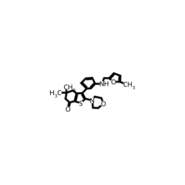 Cc1ccc(CNc2cccc(-c3c(N4CCOCC4)sc4c3CC(C)(C)CC4=O)c2)o1